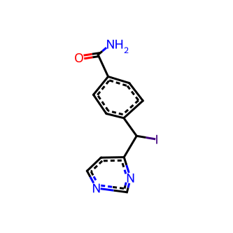 NC(=O)c1ccc(C(I)c2ccncn2)cc1